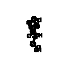 [2H]C(Oc1cc(Cl)c(C2(O)CC(c3cccc(C(=O)O)c3)C2)cc1F)c1c(-c2c(Cl)cccc2Cl)noc1C1CC1